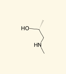 CNC[C@@H](C)O